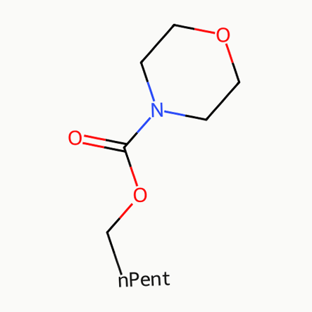 CCCCCCOC(=O)N1CCOCC1